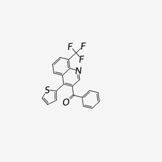 O=C(c1ccccc1)c1cnc2c(C(F)(F)F)cccc2c1-c1cccs1